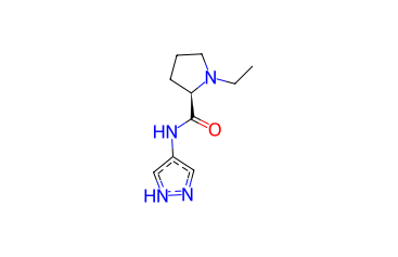 CCN1CCC[C@@H]1C(=O)Nc1cn[nH]c1